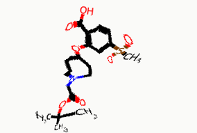 CC(C)(C)OC(=O)N1CCC(Oc2cc(S(C)(=O)=O)ccc2C(=O)O)CC1